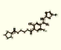 [O-][S+](Nc1ncc(F)s1)c1cc(Cl)c(NCCCCNC2CCCC2)cc1F